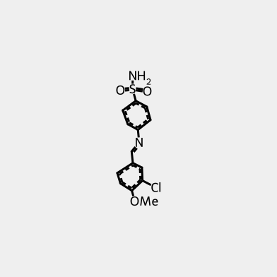 COc1ccc(/C=N/c2ccc(S(N)(=O)=O)cc2)cc1Cl